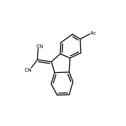 [C-]#[N+]/C(C#N)=C1\c2ccccc2-c2cc(C(C)=O)ccc21